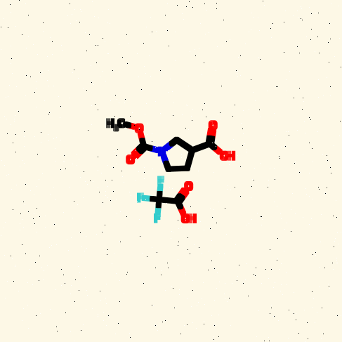 COC(=O)N1CCC(C(=O)O)C1.O=C(O)C(F)(F)F